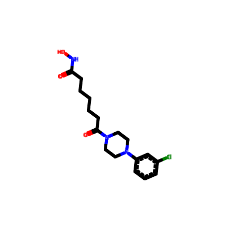 O=C(CCCCCC(=O)N1CCN(c2cccc(Cl)c2)CC1)NO